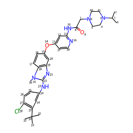 CC(C)N1CCN(CC(=O)Nc2cc(Oc3ccc4c(c3)nc(Nc3ccc(Cl)c(C(C)(C)C)c3)n4C)ccn2)CC1